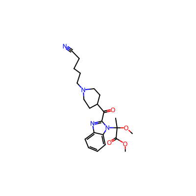 COC(=O)C(C)(OC)n1c(C(=O)C2CCN(CCCCC#N)CC2)nc2ccccc21